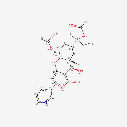 CCC(C)(OC(C)=O)[C@@H]1C[C@@H]2[C@@H](O)c3c(cc(-c4cccnc4)oc3=O)O[C@@]2(C)[C@H](OC(C)=O)C1